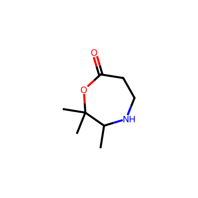 CC1NCCC(=O)OC1(C)C